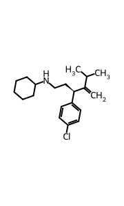 C=C(C(C)C)[C@H](CCNC1CCCCC1)c1ccc(Cl)cc1